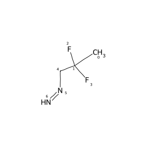 CC(F)(F)CN=N